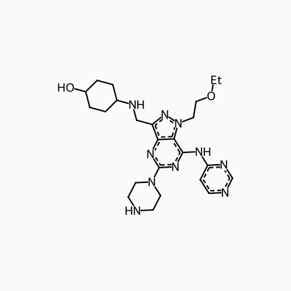 CCOCCn1nc(CNC2CCC(O)CC2)c2nc(N3CCNCC3)nc(Nc3ccncn3)c21